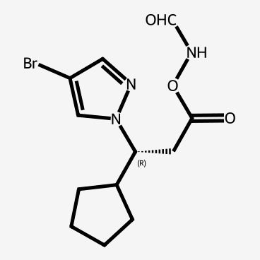 O=CNOC(=O)C[C@H](C1CCCC1)n1cc(Br)cn1